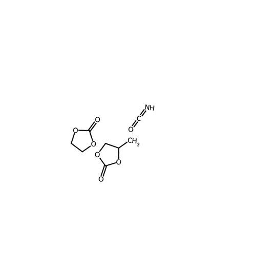 CC1COC(=O)O1.N=C=O.O=C1OCCO1